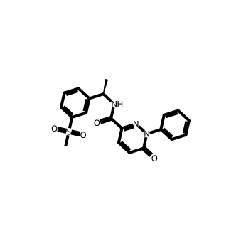 C[C@@H](NC(=O)c1ccc(=O)n(-c2ccccc2)n1)c1cccc(S(C)(=O)=O)c1